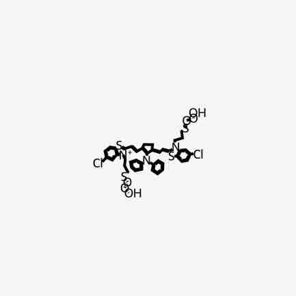 OOOSCCCN1/C(=C/C=C2\CCC(/C=C/c3sc4ccc(Cl)cc4[n+]3CCCSOOO)=C2N(c2ccccc2)c2ccccc2)Sc2ccc(Cl)cc21